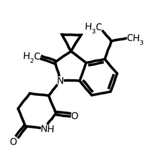 C=C1N(C2CCC(=O)NC2=O)c2cccc(C(C)C)c2C12CC2